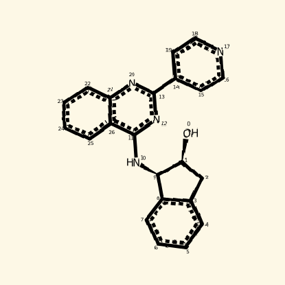 O[C@H]1Cc2ccccc2[C@H]1Nc1nc(-c2ccncc2)nc2ccccc12